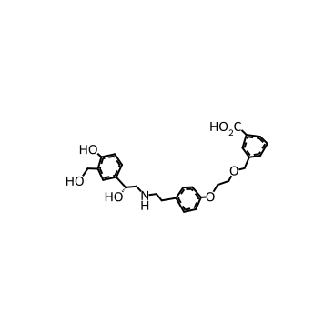 O=C(O)c1cccc(COCCOc2ccc(CCNC[C@H](O)c3ccc(O)c(CO)c3)cc2)c1